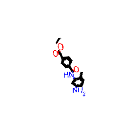 CCOC(=O)c1ccc(C(=O)Nc2cc(N)ccc2C)cc1